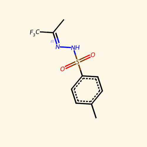 C/C(=N\NS(=O)(=O)c1ccc(C)cc1)C(F)(F)F